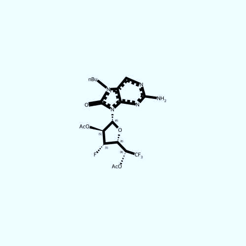 CCCCn1c(=O)n([C@@H]2O[C@H]([C@@H](OC(C)=O)C(F)(F)F)[C@H](F)[C@H]2OC(C)=O)c2nc(N)ncc21